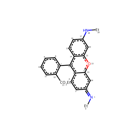 CCN=c1ccc2c(-c3ccccc3C(=O)OCC)c3ccc(NCC)cc3oc-2c1